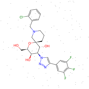 OC[C@H]1O[C@@]2(CCCN(Cc3ccccc3Cl)C2)[C@H](O)[C@@H](n2cc(-c3cc(F)c(F)c(F)c3)nn2)[C@H]1O